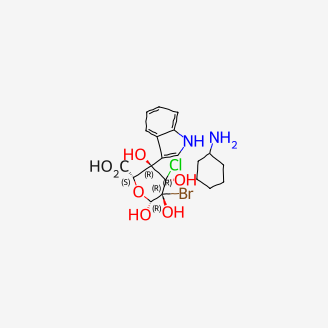 NC1CCCCC1.O=C(O)[C@H]1O[C@@H](O)[C@@](O)(Br)[C@](O)(Cl)[C@@]1(O)c1c[nH]c2ccccc12